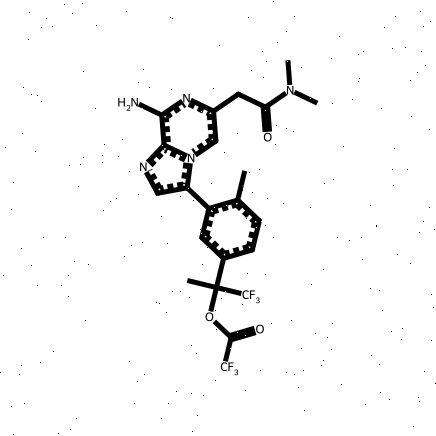 Cc1ccc(C(C)(OC(=O)C(F)(F)F)C(F)(F)F)cc1-c1cnc2c(N)nc(CC(=O)N(C)C)cn12